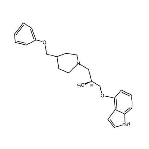 O[C@H](COc1cccc2[nH]ccc12)CN1CCC(COc2ccccc2)CC1